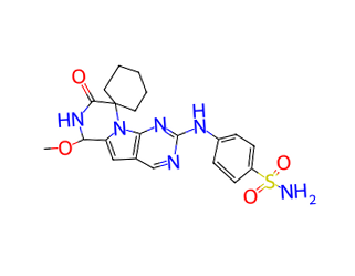 COC1NC(=O)C2(CCCCC2)n2c1cc1cnc(Nc3ccc(S(N)(=O)=O)cc3)nc12